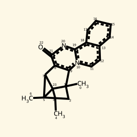 CC12CC3(C)C4(C)C(c5c1n1ccc6ccccc6c1nc5=O)C234